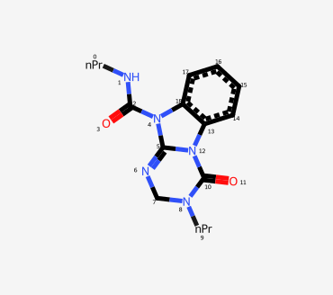 CCCNC(=O)N1C2=NCN(CCC)C(=O)N2c2ccccc21